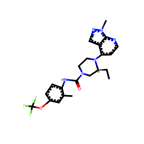 CC[C@H]1CN(C(=O)Nc2ccc(OC(F)(F)F)cc2C)CCN1c1ccnc2c1cnn2C